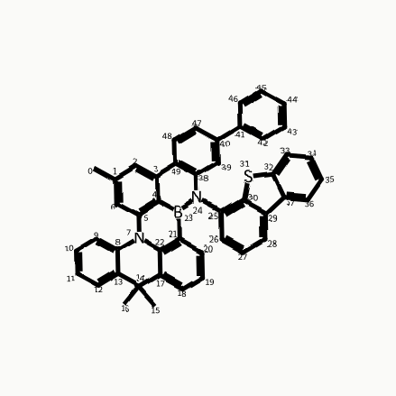 Cc1cc2c3c(c1)N1c4ccccc4C(C)(C)c4cccc(c41)B3N(c1cccc3c1sc1ccccc13)c1cc(-c3ccccc3)ccc1-2